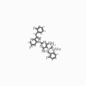 COC(=O)N(Cc1c(F)cccc1F)c1c(N)nc(-n2nc(Cc3ccccc3F)c3ncc(F)cc32)nc1N